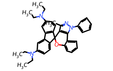 CCN(CC)c1ccc2c(c1)-c1cc(N(CC)CC)ccc1C21Oc2ccccc2-c2c1c(C)nn2-c1ccccc1